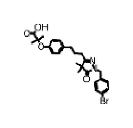 CC(C)(Oc1ccc(CCCC2=NN(Cc3ccc(Br)cc3)C(=O)C2(C)C)cc1)C(=O)O